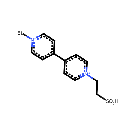 CC[n+]1ccc(-c2cc[n+](CCS(=O)(=O)O)cc2)cc1